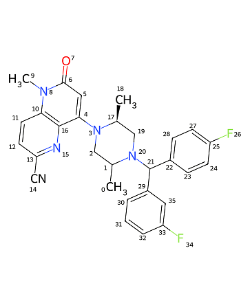 CC1CN(c2cc(=O)n(C)c3ccc(C#N)nc23)[C@@H](C)CN1C(c1ccc(F)cc1)c1cccc(F)c1